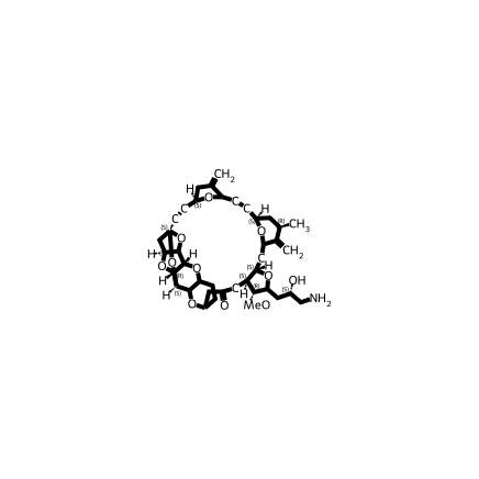 C=C1C[C@@H]2CC[C@@]34C[C@@H]5O[C@H]6[C@@H](O3)C3OC(CCC3O[C@H]6C5O4)CC(=O)C[C@H]3[C@H](CC4O[C@@H](CCC1O2)C[C@@H](C)C4=C)OC(C[C@H](O)CN)[C@@H]3OC